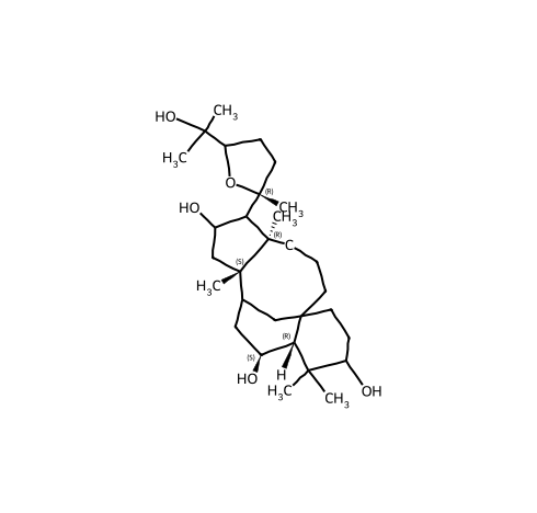 CC(C)(O)C1CC[C@](C)(C2C(O)C[C@@]3(C)C4C[C@H](O)[C@@H]5C(CCC[C@]23C)(CCC(O)C5(C)C)C4)O1